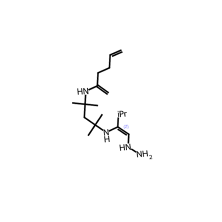 C=CCCC(=C)NC(C)(C)CC(C)(C)N/C(=C\NN)C(C)C